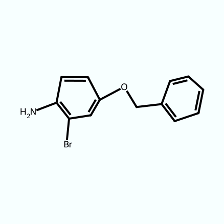 Nc1ccc(OCc2ccccc2)cc1Br